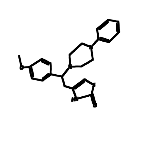 COc1ccc(C(Cc2csc(=O)[nH]2)N2CCN(c3ccccc3)CC2)cc1